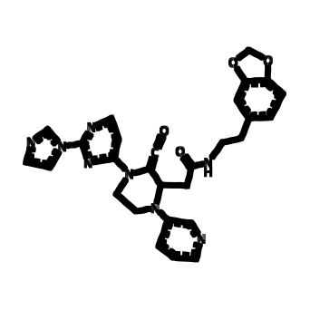 O=C=C1C(CC(=O)NCCc2ccc3c(c2)OCO3)N(c2cccnc2)CCN1c1ccnc(-n2ccnc2)n1